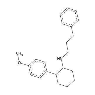 COc1ccc(C2CCCCC2NCCCc2ccccc2)cc1